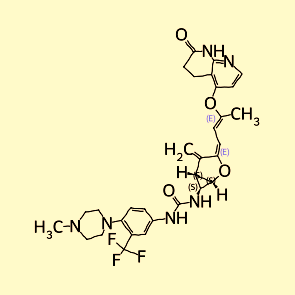 C=C1/C(=C\C=C(/C)Oc2ccnc3c2CCC(=O)N3)O[C@@H]2[C@@H](NC(=O)Nc3ccc(N4CCN(C)CC4)c(C(F)(F)F)c3)[C@H]12